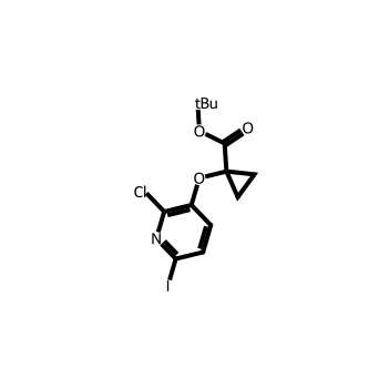 CC(C)(C)OC(=O)C1(Oc2ccc(I)nc2Cl)CC1